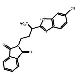 N#Cc1ccc2nc(C(CCN3C(=O)c4ccccc4C3=O)C(=O)O)[nH]c2c1